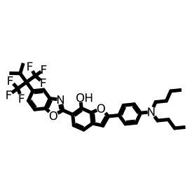 CCCCN(CCCC)c1ccc(-c2cc3ccc(-c4nc5cc(C(C(C)C)(C(F)(F)F)C(F)(F)F)ccc5o4)c(O)c3o2)cc1